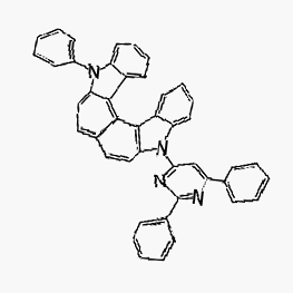 c1ccc(-c2cc(-n3c4ccccc4c4c5c(ccc6c5c5ccccc5n6-c5ccccc5)ccc43)nc(-c3ccccc3)n2)cc1